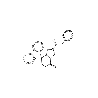 O=C1CCC(c2ccccc2)(c2ccccc2)C2CN(C(=O)Cc3ccccn3)CC12